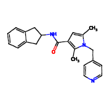 Cc1cc(C(=O)NC2Cc3ccccc3C2)c(C)n1Cc1ccncc1